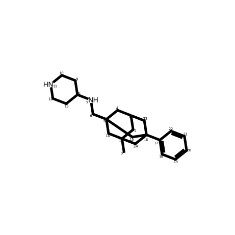 CC12CC3CC(CNC4CCNCC4)(C1)CC(c1ccccc1)(C3)C2